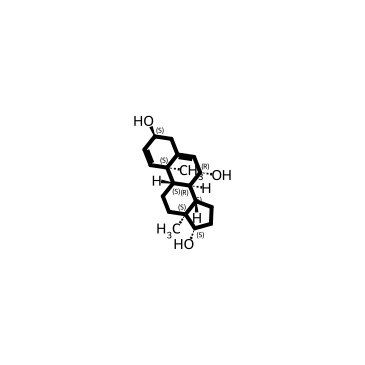 C[C@]12CC[C@H]3[C@@H]([C@@H](O)C=C4C[C@H](O)C=C[C@@]43C)[C@@H]1CC[C@@H]2O